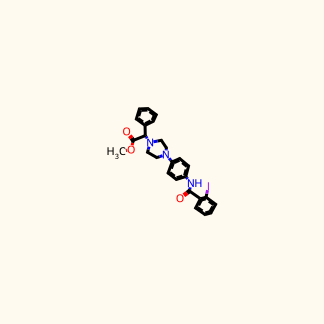 COC(=O)C(c1ccccc1)N1CCN(c2ccc(NC(=O)c3ccccc3I)cc2)CC1